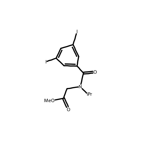 COC(=O)CN(C(=O)c1cc(I)cc(I)c1)C(C)C